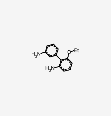 CCOc1cccc(N)c1-c1cccc(N)c1